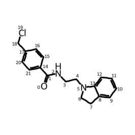 O=C(NCCN1CCc2ccccc21)c1ccc(CCl)cc1